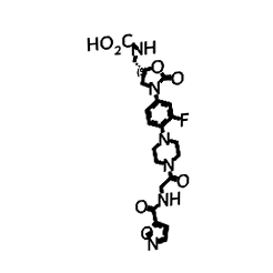 O=C(O)NC[C@H]1CN(c2ccc(N3CCN(C(=O)CNC(=O)c4ccno4)CC3)c(F)c2)C(=O)O1